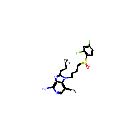 CCCc1nc2c(N)ncc(C)c2n1CCCC[S+]([O-])c1ccc(F)cc1F